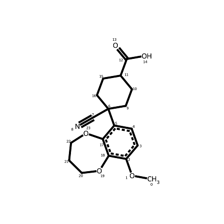 COc1ccc(C2(C#N)CCC(C(=O)O)CC2)c2c1OCCCO2